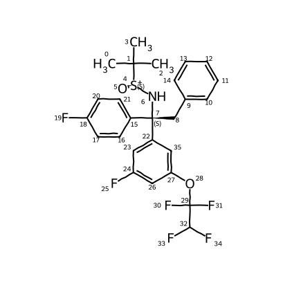 CC(C)(C)[S@@+]([O-])N[C@@](Cc1ccccc1)(c1ccc(F)cc1)c1cc(F)cc(OC(F)(F)C(F)F)c1